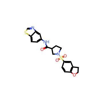 O=C(Nc1ccc2scnc2c1)C1CCN(S(=O)(=O)c2ccc3c(c2)CCO3)C1